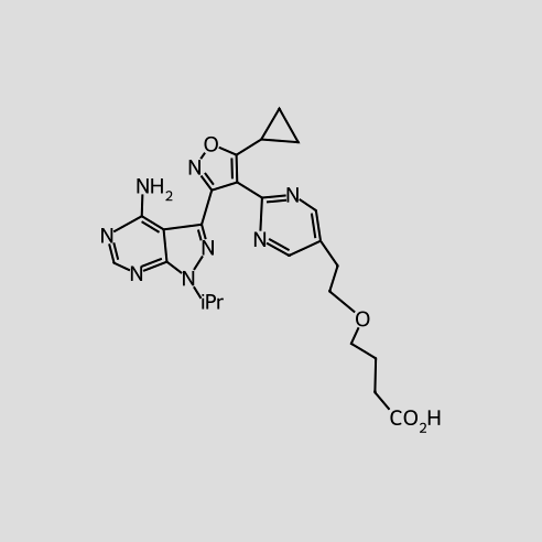 CC(C)n1nc(-c2noc(C3CC3)c2-c2ncc(CCOCCCC(=O)O)cn2)c2c(N)ncnc21